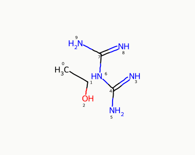 CCO.N=C(N)NC(=N)N